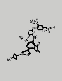 COc1cc(CP(=O)(O)O)ccc1Nc1ncc(C(F)(F)F)c(Nc2ccc(-c3cnn(C4CC(O)C4)c3)c3c2C(=O)N(C)C3)n1